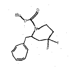 CC(C)(C)OC(=O)N1CCC(F)(F)CC1Cc1ccccc1